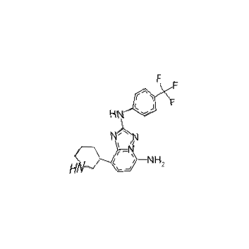 Nc1ccc(C2CCCNC2)c2nc(Nc3ccc(C(F)(F)F)cc3)nn12